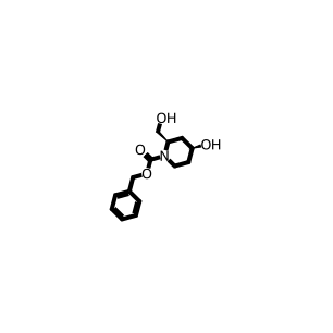 O=C(OCc1ccccc1)N1CC[C@H](O)C[C@@H]1CO